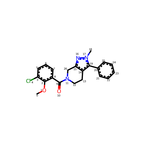 COc1c(Cl)cccc1C(=O)N1CCc2c(nn(C)c2-c2ccccc2)C1